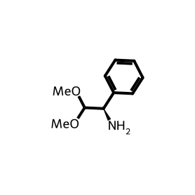 COC(OC)[C@H](N)c1ccccc1